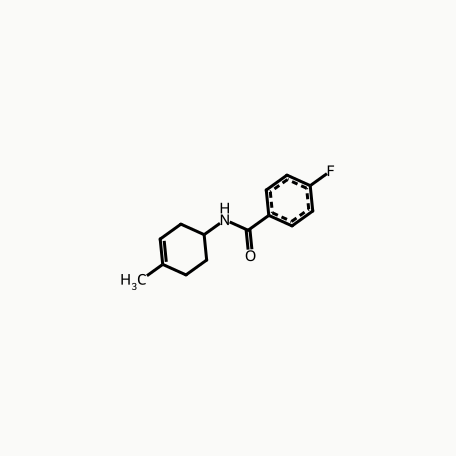 CC1=CCC(NC(=O)c2ccc(F)cc2)CC1